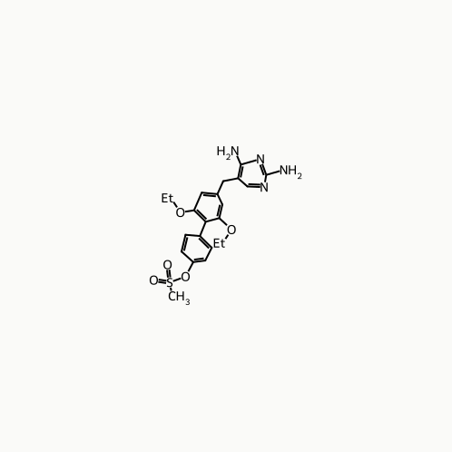 CCOc1cc(Cc2cnc(N)nc2N)cc(OCC)c1-c1ccc(OS(C)(=O)=O)cc1